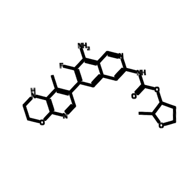 Cc1c(-c2cc3cc(NC(=O)OC4CCOC4C)ncc3c(N)c2F)cnc2c1NCCO2